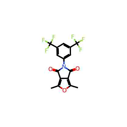 Cc1oc(C)c2c1C(=O)N(c1cc(C(F)(F)F)cc(C(F)(F)F)c1)C2=O